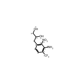 Nc1c(C(F)(F)F)ccc(CC(O)CO)c1[N+](=O)[O-]